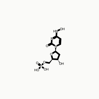 O=c1nc(NO)ccn1[C@H]1C[C@H](O)[C@@H](COP(=O)(O)O)O1